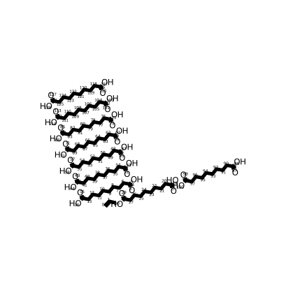 C=CC.O=C(O)CCCCCCCCC(=O)O.O=C(O)CCCCCCCCC(=O)O.O=C(O)CCCCCCCCC(=O)O.O=C(O)CCCCCCCCC(=O)O.O=C(O)CCCCCCCCC(=O)O.O=C(O)CCCCCCCCC(=O)O.O=C(O)CCCCCCCCC(=O)O.O=C(O)CCCCCCCCC(=O)O.O=C(O)CCCCCCCCC(=O)O